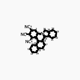 N#Cc1cc2c(c(C#N)c1C#N)c1c3ccccc3ccc1c1c3ccccc3cn21